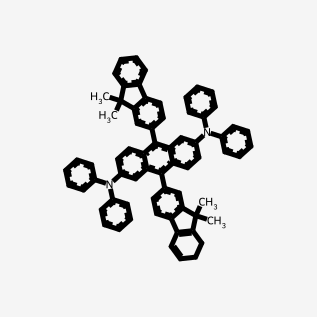 CC1(C)C2=C(C=CCC2)c2ccc(-c3c4ccc(N(c5ccccc5)c5ccccc5)cc4c(-c4ccc5c(c4)C(C)(C)c4ccccc4-5)c4ccc(N(c5ccccc5)c5ccccc5)cc34)cc21